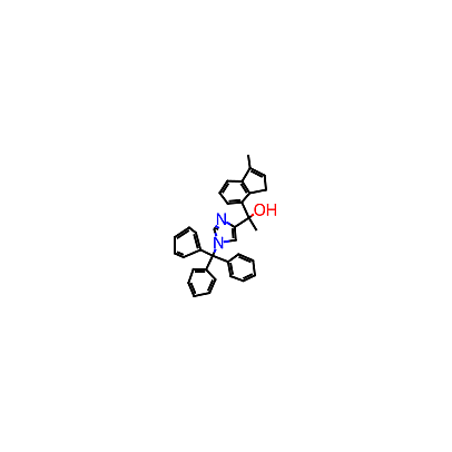 CC1=CCc2c1cccc2C(C)(O)c1cn(C(c2ccccc2)(c2ccccc2)c2ccccc2)cn1